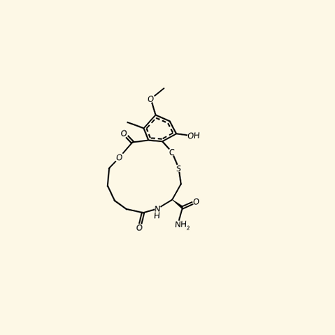 COc1cc(O)c2c(c1C)C(=O)OCCCCC(=O)N[C@H](C(N)=O)CSC2